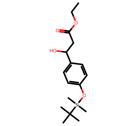 CCOC(=O)CC(O)c1ccc(O[Si](C)(C)C(C)(C)C)cc1